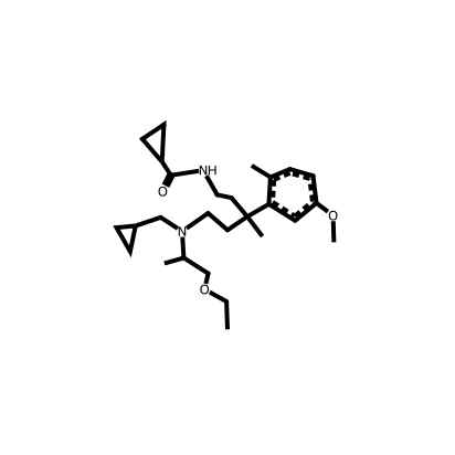 CCOCC(C)N(CCC(C)(CCNC(=O)C1CC1)c1cc(OC)ccc1C)CC1CC1